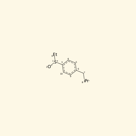 CC[S+]([O-])c1ccc(C[C](C)C)cc1